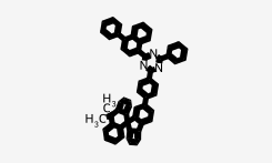 CC1(C)c2ccccc2C2(c3ccccc3-c3ccc(-c4ccc(-c5nc(-c6ccccc6)nc(-c6ccc(-c7ccccc7)c7ccccc67)n5)cc4)cc32)c2ccccc21